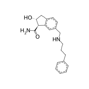 NC(=O)[C@@H]1c2cc(CNCCCc3ccccc3)ccc2C[C@H]1O